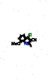 COc1cccc2c(Cl)c(C#N)c(C)nc12